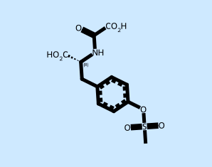 CS(=O)(=O)Oc1ccc(C[C@@H](NC(=O)C(=O)O)C(=O)O)cc1